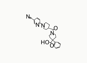 N#Cc1ccc(N2CCC(C(=O)N3CCC(C(=O)O)(c4ccccc4)CC3)CC2)nc1